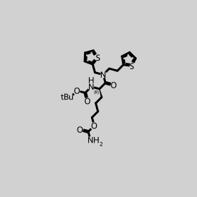 CC(C)(C)OC(=O)N[C@H](CCCCOC(N)=O)C(=O)N(CCc1cccs1)Cc1cccs1